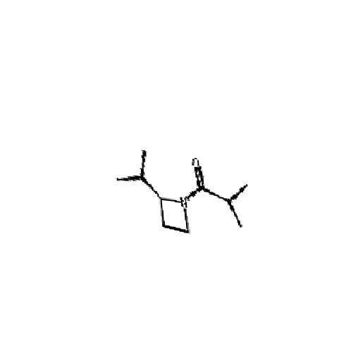 CC(C)C(=O)N1CC[C@H]1C(C)C